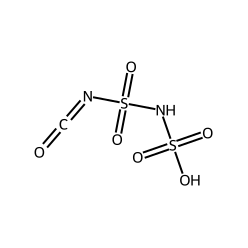 O=C=NS(=O)(=O)NS(=O)(=O)O